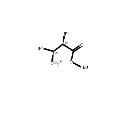 CC(C)[C@@H](C(=O)OC(C)(C)C)[C@@H](C(=O)O)C(C)C